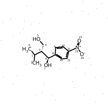 CC(C)[C@H](CO)[C@H](O)c1ccc([N+](=O)[O-])cc1